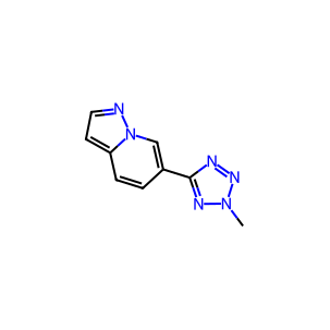 Cn1nnc(-c2ccc3ccnn3c2)n1